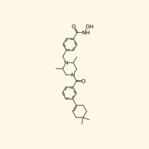 CC1CN(C(=O)c2cccc(C3=CCC(C)(C)CC3)c2)CC(C)N1Cc1ccc(C(=O)NO)cc1